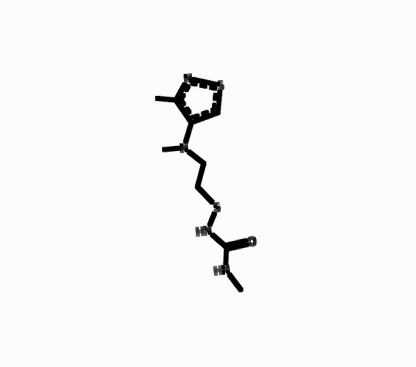 CNC(=O)NSCCN(C)c1csnc1C